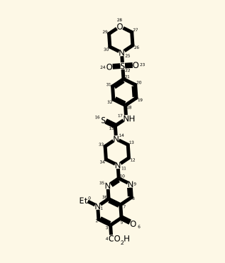 CCn1cc(C(=O)O)c(=O)c2cnc(N3CCN(C(=S)Nc4ccc(S(=O)(=O)N5CCOCC5)cc4)CC3)nc21